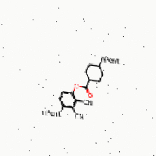 CCCCCc1ccc(OC(=O)C2CCC(CCCCC)CC2)c(C#N)c1C#N